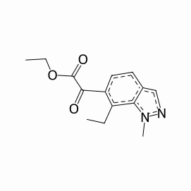 CCOC(=O)C(=O)c1ccc2cnn(C)c2c1CC